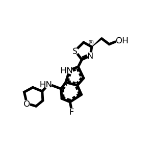 OCC[C@@H]1CSC(c2cc3cc(F)cc(NC4CCOCC4)c3[nH]2)=N1